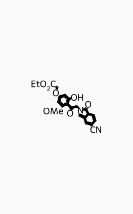 CCOC(=O)COc1cc(O)c(C(=O)CN2C=C3C=C(C#N)C=CC3C2=O)c(OC)c1